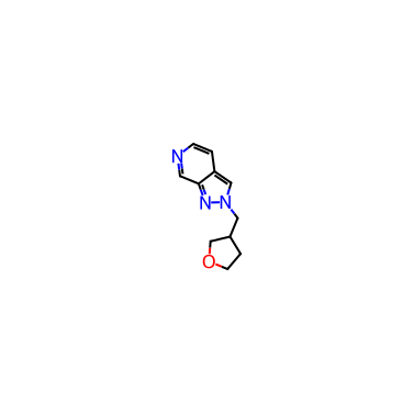 c1cc2cn(CC3CCOC3)nc2cn1